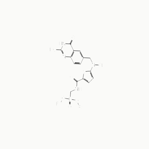 CCOP(=O)(CNC(=O)c1ccc(N(C)Cc2ccc3nc(C)[nH]c(=O)c3c2)s1)OCC